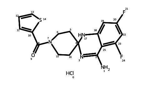 Cl.NC1=NC2(CCN(C(=O)c3cccs3)CC2)Nc2cc(F)cc(F)c21